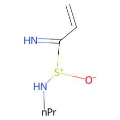 C=CC(=N)[S+]([O-])NCCC